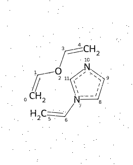 C=COC=C.C=Cn1ccnc1